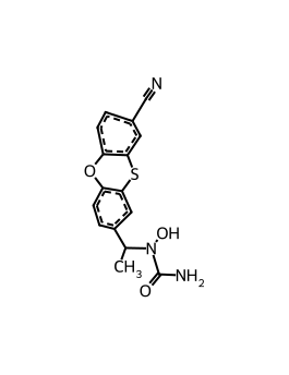 CC(c1ccc2c(c1)Sc1cc(C#N)ccc1O2)N(O)C(N)=O